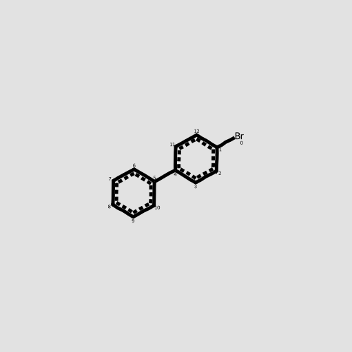 Brc1[c]cc(-c2ccccc2)cc1